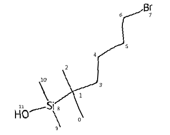 CC(C)(CCCCBr)[Si](C)(C)O